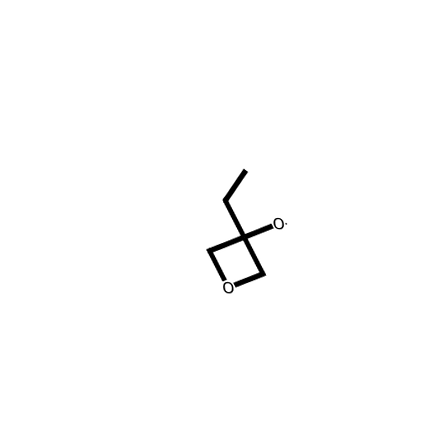 CCC1([O])COC1